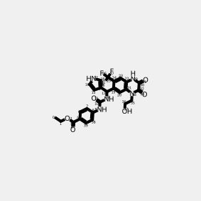 CCOC(=O)c1ccc(NC(=O)NC(c2cc[nH]c2)c2cc3c(cc2C(F)(F)F)[nH]c(=O)c(=O)n3CCO)cc1